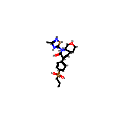 CCCS(=O)(=O)c1ccc(C(=CC2CCOCC2)C(=O)Nc2nc(C)ns2)cc1